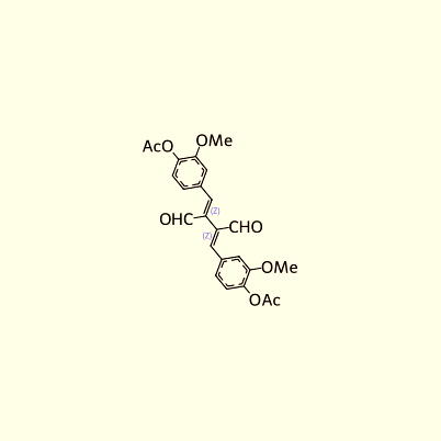 COc1cc(/C=C(C=O)/C(C=O)=C/c2ccc(OC(C)=O)c(OC)c2)ccc1OC(C)=O